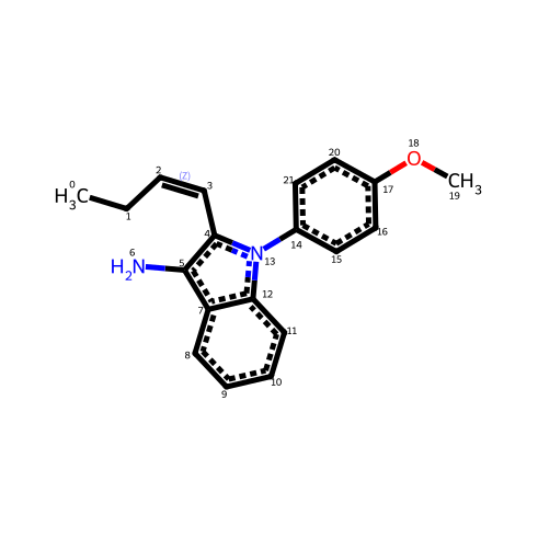 CC/C=C\c1c(N)c2ccccc2n1-c1ccc(OC)cc1